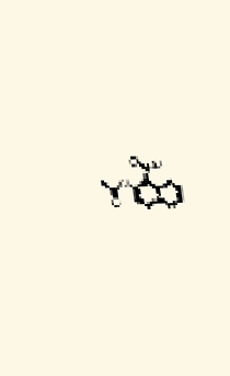 CC(=O)Oc1ccc2ccccc2c1[N+](=O)[O-]